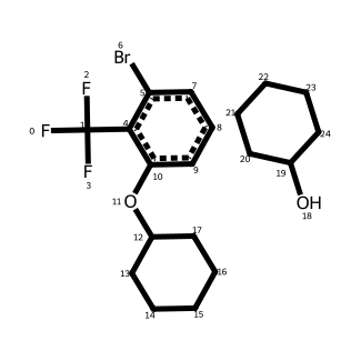 FC(F)(F)c1c(Br)cccc1OC1CCCCC1.OC1CCCCC1